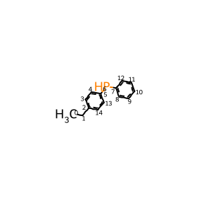 CCc1ccc(Pc2ccccc2)cc1